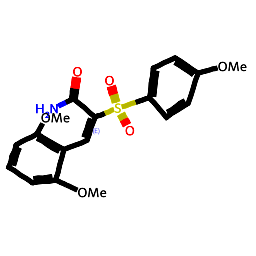 COc1ccc(S(=O)(=O)/C(=C/c2c(OC)cccc2OC)C(N)=O)cc1